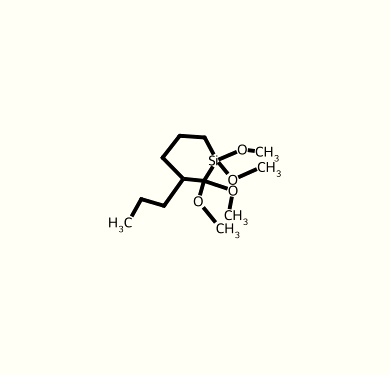 CCCC1CCC[Si](OC)(OC)C1(OC)OC